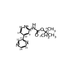 CC(C)(C)OC(=O)Nc1cc(-c2cnccn2)ccn1